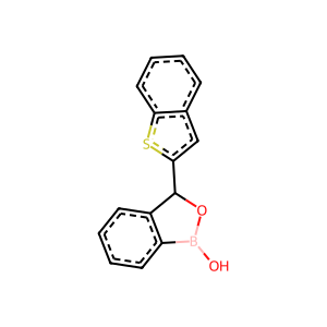 OB1OC(c2cc3ccccc3s2)c2ccccc21